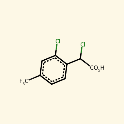 O=C(O)C(Cl)c1ccc(C(F)(F)F)cc1Cl